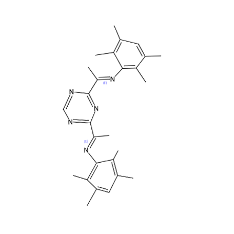 C/C(=N\c1c(C)c(C)cc(C)c1C)c1ncnc(/C(C)=N/c2c(C)c(C)cc(C)c2C)n1